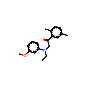 CCN(CC(=O)c1cc(C)ccc1C)c1cccc(OC)c1